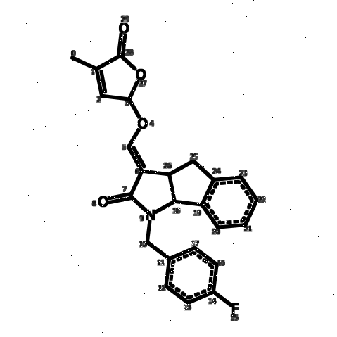 CC1=CC(O/C=C2/C(=O)N(Cc3ccc(F)cc3)C3c4ccccc4CC23)OC1=O